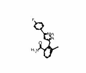 Cc1cccc(C(N)=O)c1-c1cc(-c2ccc(F)cc2)[nH]n1